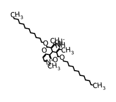 CCCCCCCCCCCCOC(=O)C1=C(C)NC(C)=C(C(=O)OCCCCCCCCCCCC)C1c1ccc[n+](C)c1.I.[I-]